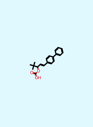 CC(C)(C)C(C=Cc1ccc(-c2ccccc2)cc1)OC(=O)O